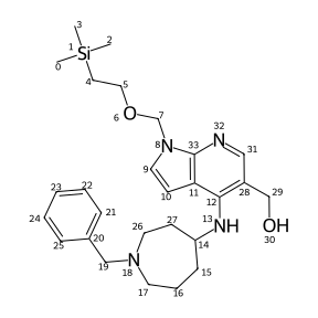 C[Si](C)(C)CCOCn1ccc2c(NC3CCCN(Cc4ccccc4)CC3)c(CO)cnc21